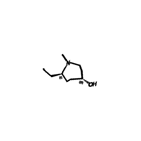 CC[C@@H]1C[C@@H](O)CN1C